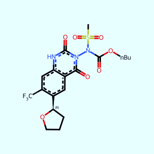 CCCCOC(=O)N(n1c(=O)[nH]c2cc(C(F)(F)F)c([C@H]3CCCO3)cc2c1=O)S(C)(=O)=O